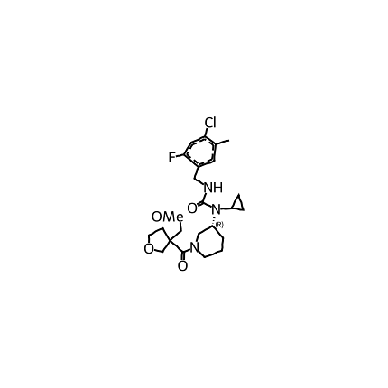 COCC1(C(=O)N2CCC[C@@H](N(C(=O)NCc3cc(C)c(Cl)cc3F)C3CC3)C2)CCOC1